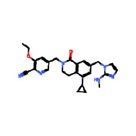 CCOc1cc(CN2CCc3c(cc(Cn4ccnc4NC)cc3C3CC3)C2=O)cnc1C#N